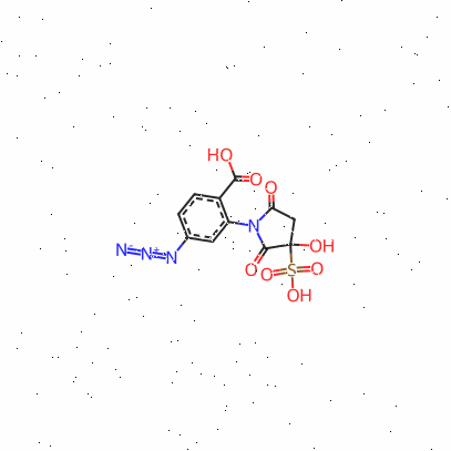 [N-]=[N+]=Nc1ccc(C(=O)O)c(N2C(=O)CC(O)(S(=O)(=O)O)C2=O)c1